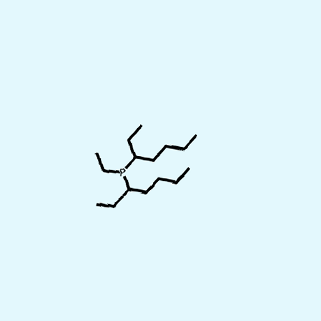 CCCCC(CC)P(CC)C(CC)CCCC